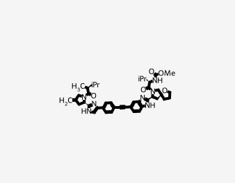 C=C1C[C@@H](c2nc(-c3ccc(C#Cc4ccc5[nH]c([C@@H]6C[C@@]7(CCCO7)CN6C(=O)[C@@H](NC(=O)OC)C(C)C)nc5c4)cc3)c[nH]2)N(C(=O)[C@@H](C)C(C)C)C1